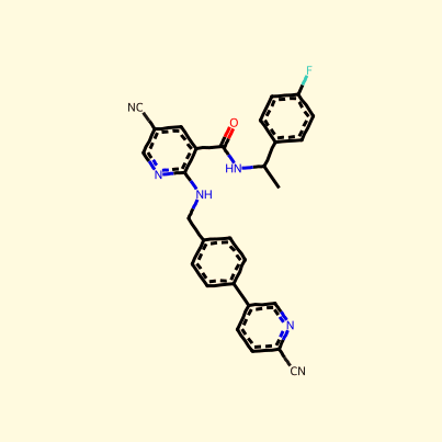 CC(NC(=O)c1cc(C#N)cnc1NCc1ccc(-c2ccc(C#N)nc2)cc1)c1ccc(F)cc1